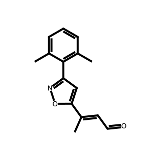 CC(=CC=O)c1cc(-c2c(C)cccc2C)no1